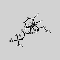 COC(=O)[C@H]1[C@H](NC(=O)OC(C)(C)C)[C@@H]2C=C[C@H]1CC2